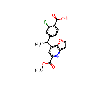 COC(=O)c1cc(C(C)c2ccc(C(=O)O)c(F)c2)c2occc2n1